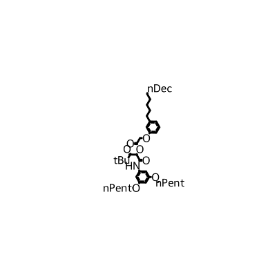 CCCCCCCCCCCCCCCc1cccc(OCC(=O)OC(C(=O)Nc2cc(OCCCCC)cc(OCCCCC)c2)C(=O)C(C)(C)C)c1